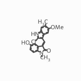 COc1cc2c(/C=C3/C(=O)N(C)c4ccc(O)cc43)c(Cl)[nH]c2cc1C